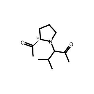 CC(=O)C(C(C)C)N1CCC[C@H]1C(C)=O